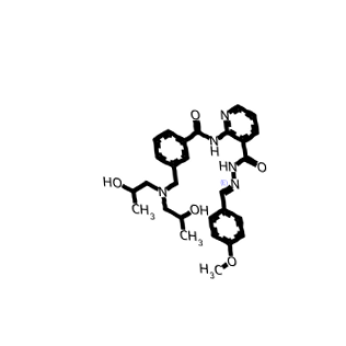 COc1ccc(/C=N/NC(=O)c2cccnc2NC(=O)c2cccc(CN(CC(C)O)CC(C)O)c2)cc1